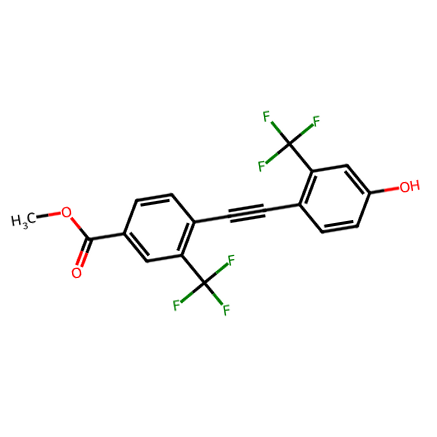 COC(=O)c1ccc(C#Cc2ccc(O)cc2C(F)(F)F)c(C(F)(F)F)c1